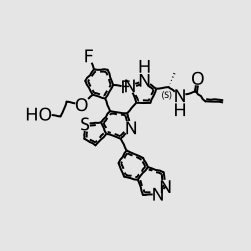 C=CC(=O)N[C@@H](C)c1cc(-c2nc(-c3ccc4cnncc4c3)c3ccsc3c2-c2c(F)cc(F)cc2OCCO)n[nH]1